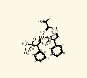 C=C(C)C(=O)[O-].C=CC(c1ccccc1)[N+](C)(C)C.C=CC(c1ccccc1)[N+](C)(C)C.[Cl-]